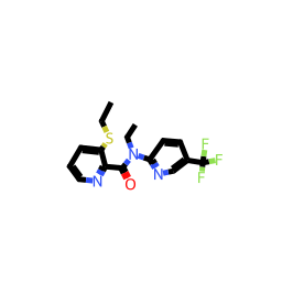 CCSc1cccnc1C(=O)N(CC)c1ccc(C(F)(F)F)cn1